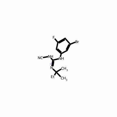 CCC(C)(C)/N=C(/NC#N)Nc1cc(F)cc(Br)c1